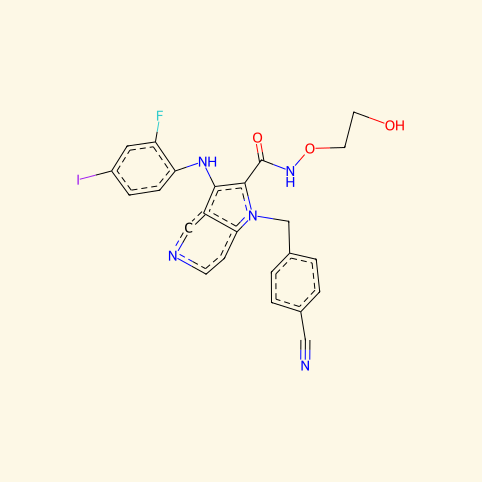 N#Cc1ccc(Cn2c(C(=O)NOCCO)c(Nc3ccc(I)cc3F)c3cnccc32)cc1